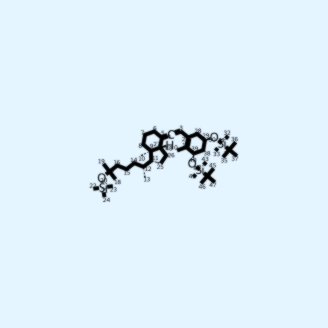 CC1=C(C=C=C2CCC[C@]3(C)[C@@H]([C@H](C)CCCC(C)(C)O[Si](C)(C)C)CC[C@@H]23)C[C@@H](O[Si](C)(C)C(C)(C)C)C[C@@H]1O[Si](C)(C)C(C)(C)C